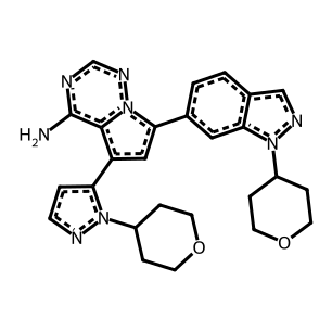 Nc1ncnn2c(-c3ccc4cnn(C5CCOCC5)c4c3)cc(-c3ccnn3C3CCOCC3)c12